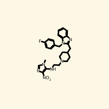 Cn1cnc([N+](=O)[O-])c1NCCN1CCC(Cc2nc3ccccc3n2Cc2ccc(F)cc2)CC1